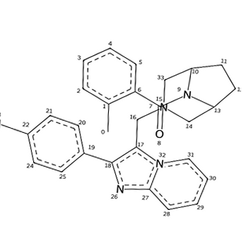 Cc1ccccc1C(=O)N1C2CCC1CN(Cc1c(-c3ccc(Cl)cc3)nc3ccccn13)C2